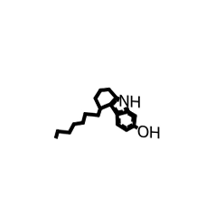 CCCCCCCC1CCCc2[nH]c3cc(O)ccc3c21